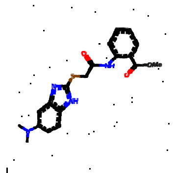 COC(=O)c1ccccc1NC(=O)CSc1nc2cc(N(C)C)ccc2[nH]1